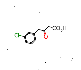 O=C(O)CC(=O)Cc1cccc(Cl)c1